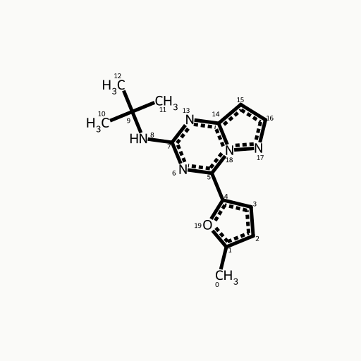 Cc1ccc(-c2nc(NC(C)(C)C)nc3ccnn23)o1